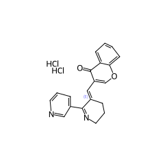 Cl.Cl.O=c1c(/C=C2\CCCN=C2c2cccnc2)coc2ccccc12